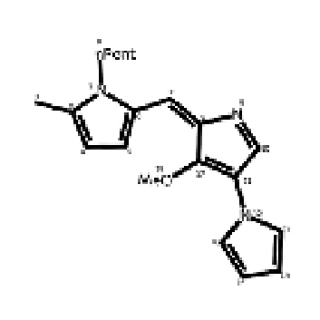 CCCCCn1c(C)ccc1C=C1N=CC(n2cccc2)=C1OC